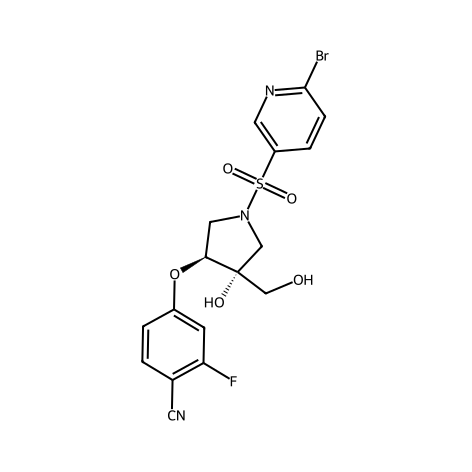 N#Cc1ccc(O[C@H]2CN(S(=O)(=O)c3ccc(Br)nc3)C[C@@]2(O)CO)cc1F